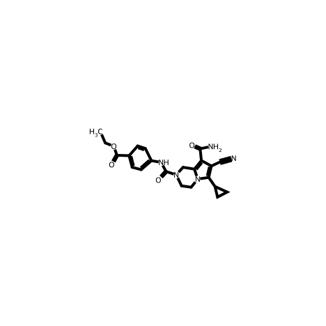 CCOC(=O)c1ccc(NC(=O)N2CCn3c(c(C(N)=O)c(C#N)c3C3CC3)C2)cc1